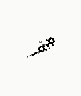 CCOCCOc1ccc(PC(=O)c2c(C)cccc2C)c(C)c1.[LiH]